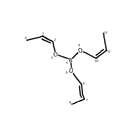 C/C=C\OB(O/C=C\C)O/C=C\C